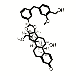 COc1cc(Cc2cccc([C@@H]3O[C@@H]4C[C@H]5[C@@H]6CCC7=CC(=O)C=C[C@]7(C)[C@H]6[C@@H](O)C[C@]5(C)[C@]4(C(=O)CO)O3)c2)ccc1CO